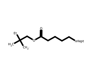 [CH2]C([CH2])(CC)COC(=O)CCCCCCCCCCC